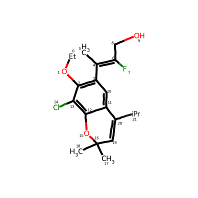 CCOc1c(C(C)=C(F)CO)cc2c(c1Cl)OC(C)(C)C=C2C(C)C